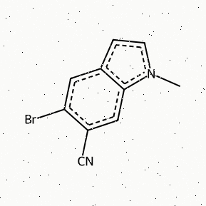 Cn1ccc2cc(Br)c(C#N)cc21